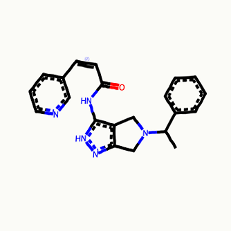 CC(c1ccccc1)N1Cc2n[nH]c(NC(=O)/C=C\c3cccnc3)c2C1